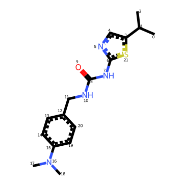 CC(C)c1cnc(NC(=O)NCc2ccc(N(C)C)cc2)s1